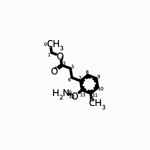 CCOC(=O)CCc1cccc(C)c1ON